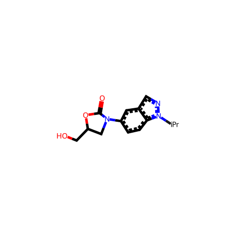 CC(C)n1ncc2cc(N3CC(CO)OC3=O)ccc21